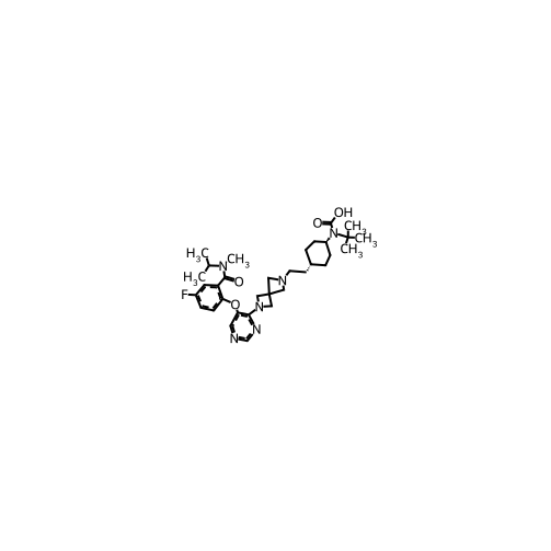 CC(C)N(C)C(=O)c1cc(F)ccc1Oc1cncnc1N1CC2(CN(CC[C@H]3CC[C@H](N(C(=O)O)C(C)(C)C)CC3)C2)C1